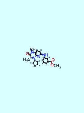 COC(=O)c1cccc(Nc2ccc3c(n2)N(C2CCCC2)[C@H](C)C(=O)N3C)c1